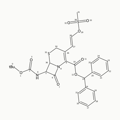 CC(C)(C)OC(=O)NC1C(=O)N2C(C(=O)OC(c3ccccc3)c3ccccc3)=C(/C=C/OS(C)(=O)=O)CSC12